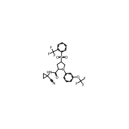 N#CC1(NC(=O)C2CC(S(=O)(=O)c3ccccc3C(F)(F)F)CN2c2cccc(OC(F)(F)F)c2)CC1